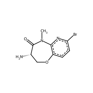 CN1C(=O)[C@@H](N)COc2ccc(Br)nc21